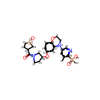 Cc1cc(N2CCOc3ccc(O[C@H]4CCN(C(=O)C5CC[S+]([O-])C5)C4)cc32)cnc1S(C)(=O)=O